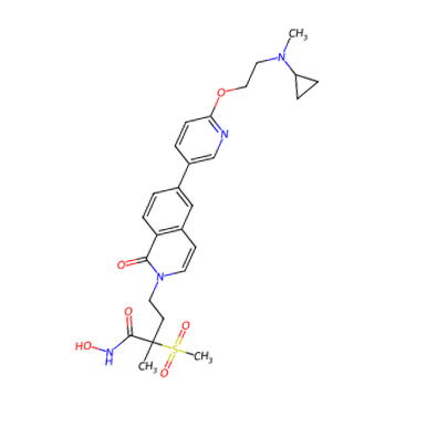 CN(CCOc1ccc(-c2ccc3c(=O)n(CCC(C)(C(=O)NO)S(C)(=O)=O)ccc3c2)cn1)C1CC1